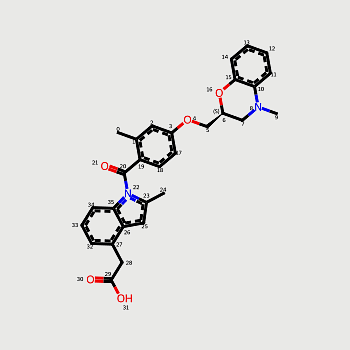 Cc1cc(OC[C@@H]2CN(C)c3ccccc3O2)ccc1C(=O)n1c(C)cc2c(CC(=O)O)cccc21